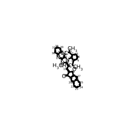 CC(C)c1cccc(C(C)C)c1N1/C(=C/C=C2C(=O)c3cc4ccccc4cc3C2=O)N(C)c2nc3ccccc3nc21